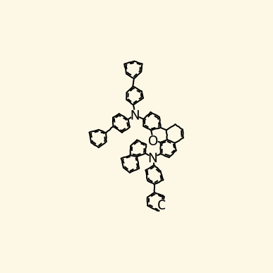 C1=Cc2ccc(N(c3ccc(-c4ccccc4)cc3)c3cccc4ccccc34)c3c2C(C1)c1ccc(N(c2ccc(-c4ccccc4)cc2)c2ccc(-c4ccccc4)cc2)cc1O3